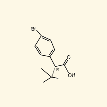 CC(C)(C)[C@@H](C(=O)O)c1ccc(Br)cc1